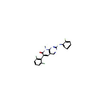 COn1c(=O)c(-c2c(Cl)cccc2Cl)cc2cnc(Nc3ccccc3F)nc21